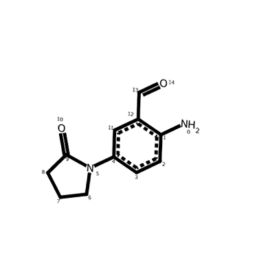 Nc1ccc(N2CCCC2=O)cc1C=O